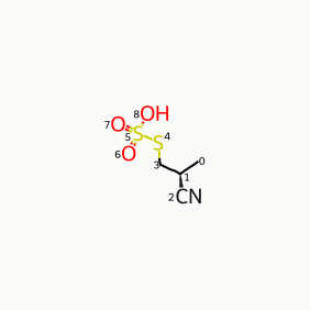 C[C@@H](C#N)CSS(=O)(=O)O